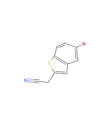 N#CCc1cc2cc(Br)ccc2s1